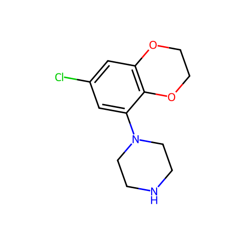 Clc1cc2c(c(N3CCNCC3)c1)OCCO2